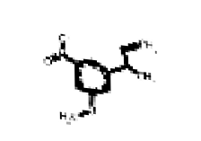 C=C[C](C)c1cc(OC)cc([N+](=O)[O-])c1